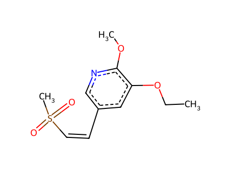 CCOc1cc(/C=C\S(C)(=O)=O)cnc1OC